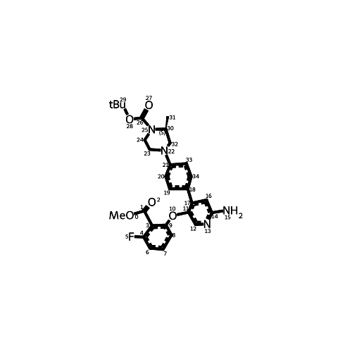 COC(=O)c1c(F)cccc1Oc1cnc(N)cc1-c1ccc(N2CCN(C(=O)OC(C)(C)C)[C@@H](C)C2)cc1